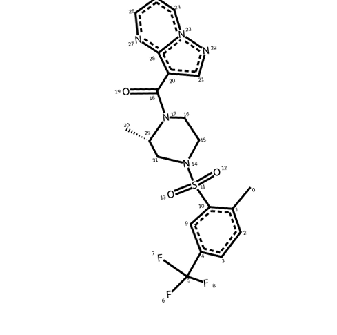 Cc1ccc(C(F)(F)F)cc1S(=O)(=O)N1CCN(C(=O)c2cnn3cccnc23)[C@@H](C)C1